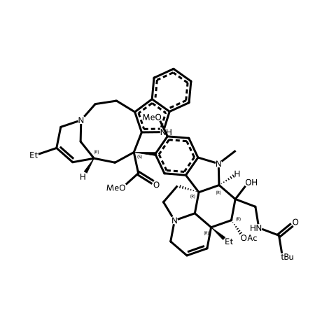 CCC1=C[C@@H]2CN(CCc3c([nH]c4ccccc34)[C@@](C(=O)OC)(c3cc4c(cc3OC)N(C)[C@H]3C(O)(CNC(=O)C(C)(C)C)[C@H](OC(C)=O)[C@]5(CC)C=CCN6CC[C@]43C65)C2)C1